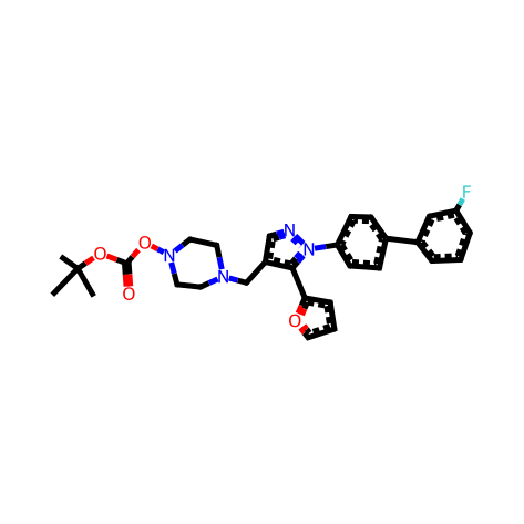 CC(C)(C)OC(=O)ON1CCN(Cc2cnn(-c3ccc(-c4cccc(F)c4)cc3)c2-c2ccco2)CC1